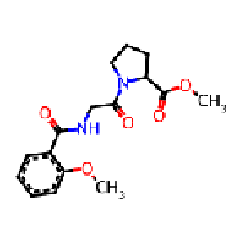 COC(=O)C1CCCN1C(=O)CNC(=O)c1ccccc1OC